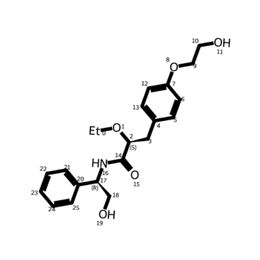 CCO[C@@H](Cc1ccc(OCCO)cc1)C(=O)N[C@@H](CO)c1ccccc1